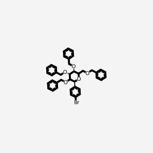 Brc1ccc([C@@H]2OC(COCc3ccccc3)[C@@H](OCc3ccccc3)[C@@H](OCc3ccccc3)C2OCc2ccccc2)cc1